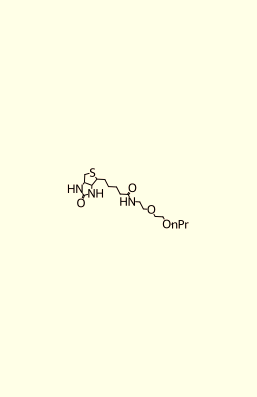 CCCOCCOCCNC(=O)CCCCC1SCC2NC(=O)NC21